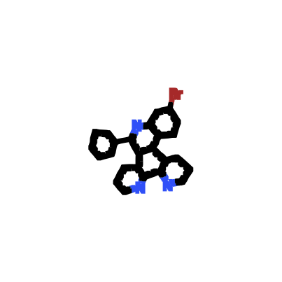 Brc1ccc2c(c1)nc(-c1ccccc1)c1c3cccnc3c3ncccc3c21